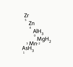 [AlH3].[AsH3].[MgH2].[Mn].[Zn].[Zr]